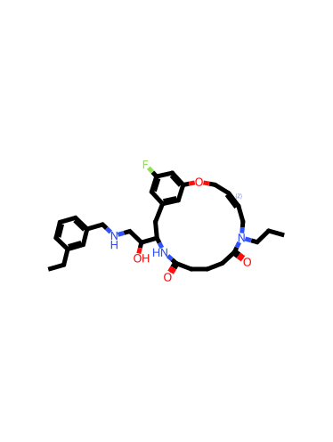 CCCN1C/C=C\COc2cc(F)cc(c2)CC(C(O)CNCc2cccc(CC)c2)NC(=O)CCCC1=O